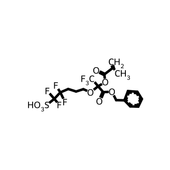 C=C(C)C(=O)OC(OCCCC(F)(F)C(F)(F)S(=O)(=O)O)(C(=O)OCc1ccccc1)C(F)(F)F